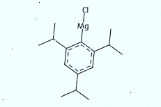 CC(C)c1cc(C(C)C)[c]([Mg][Cl])c(C(C)C)c1